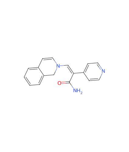 NC(=O)C(=CN1C=Cc2ccccc2C1)c1ccncc1